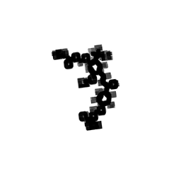 CCOc1cc(OCOC(=O)C(C)(C)C)c(C(C)(C)CC)cc1/C=C/C(=O)c1ccc(OCOC(=O)C(C)(C)C)cc1